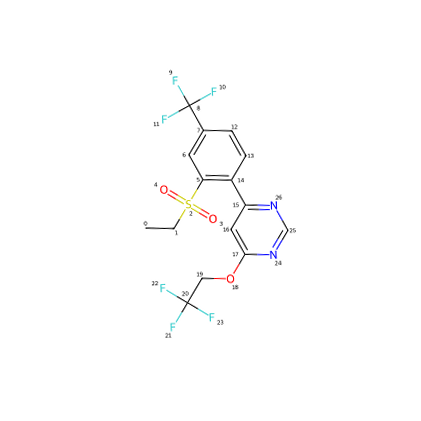 CCS(=O)(=O)c1cc(C(F)(F)F)ccc1-c1cc(OCC(F)(F)F)ncn1